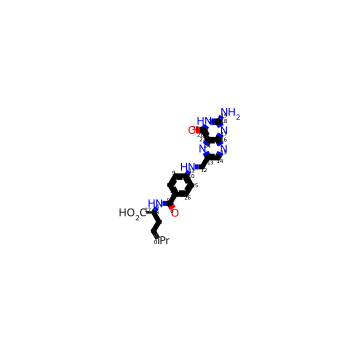 CC(C)CC[C@H](NC(=O)c1ccc(NCc2cnc3nc(N)[nH]c(=O)c3n2)cc1)C(=O)O